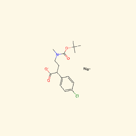 CN(CCC(C(=O)[O-])c1ccc(Cl)cc1)C(=O)OC(C)(C)C.[Na+]